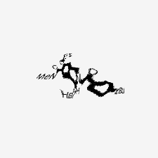 Br.CCOc1cc2c(cc1C(=O)NC)C(=N)N(CC(=O)c1ccc(C(C)(C)C)cc1)C2